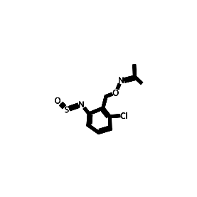 CC(C)=NOCc1c(Cl)cccc1N=S=O